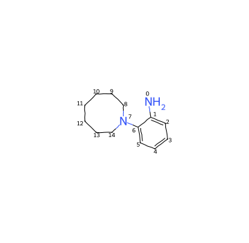 Nc1ccccc1N1CCCCCCC1